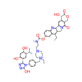 CCc1c2c(nc3ccc(OC(=O)N(C)CCN4CC[N+](CC)(Cc5ccc(-n6c(O)nnc6-c6cc(C(C)C)c(O)cc6O)cc5)CC4)cc13)-c1cc3c(c(=O)n1C2)COC(=O)[C@H]3O